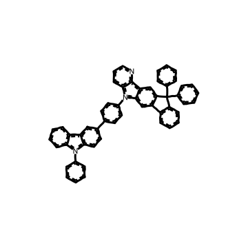 c1ccc(-n2c3ccccc3c3cc(-c4ccc(-n5c6cc7c(cc6c6ncccc65)C(c5ccccc5)(c5ccccc5)c5ccccc5-7)cc4)ccc32)cc1